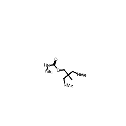 CCCCNC(=O)OCC(C)(CNC)CNC